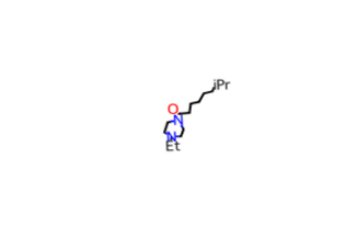 CCN1CCN(C(=O)CCCCCC(C)C)CC1